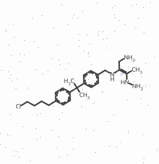 C/C(NN)=C(\CN)NCc1ccc(C(C)(C)c2ccc(CCCCCl)cc2)cc1